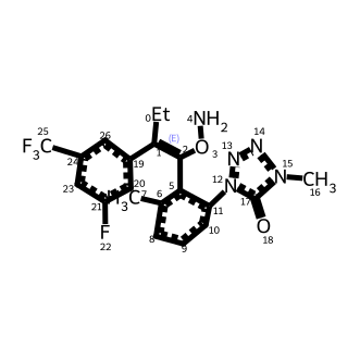 CC/C(=C(\ON)c1c(C)cccc1-n1nnn(C)c1=O)c1cc(F)cc(C(F)(F)F)c1